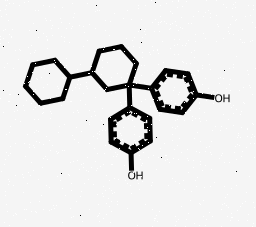 Oc1ccc(C2(c3ccc(O)cc3)CCCC(C3CCCCC3)C2)cc1